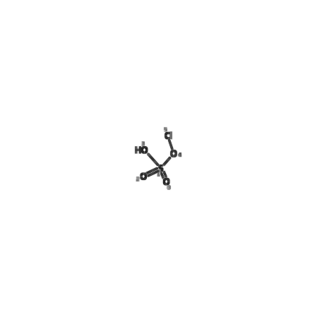 O=S(=O)(O)OCl